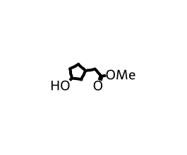 COC(=O)CC1CCC(O)C1